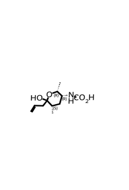 C=CCC1(O)O[C@H](C)[C@H](NC(=O)O)C[C@@H]1C